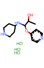 CC(O)C(NC1CCNCC1)Oc1ccncc1.Cl.Cl.Cl